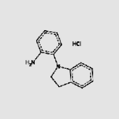 Cl.Nc1ccccc1N1CCc2ccccc21